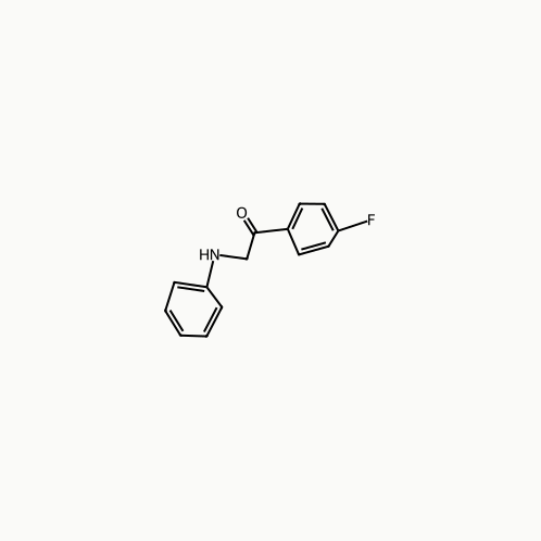 O=C(CNc1ccccc1)c1ccc(F)cc1